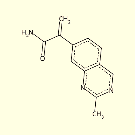 C=C(C(N)=O)c1ccc2cnc(C)nc2c1